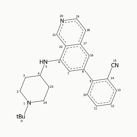 CC(C)(C)N1CCC(Nc2cc(-c3ccccc3C#N)cc3ccncc23)CC1